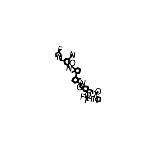 Cc1c(-c2nc3cc(COC(=O)[C@H]4CCCN4)c(OC(F)F)cc3o2)cccc1-c1cccc(-c2nc3cc(CN4CCC(F)C4)cc(C#N)c3o2)c1C